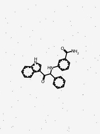 NC(=O)c1cccc(NC(C(=O)c2c[nH]c3ccccc23)c2ccccc2)c1